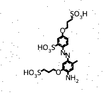 Cc1cc(N)c(OCCCS(=O)(=O)O)cc1N=Nc1ccc(OCCCS(=O)(=O)O)cc1S(=O)(=O)O